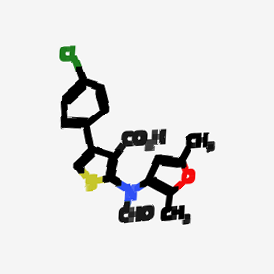 Cc1cc(N(C=O)c2scc(-c3ccc(Cl)cc3)c2C(=O)O)c(C)o1